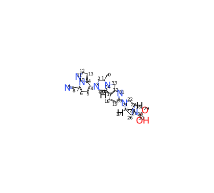 C[C@@H]1CN(c2ccc(C#N)n3nccc23)C[C@@H]2c3ccc(N4C[C@@H]5C[C@H]4CN5C(=O)O)nc3CN12